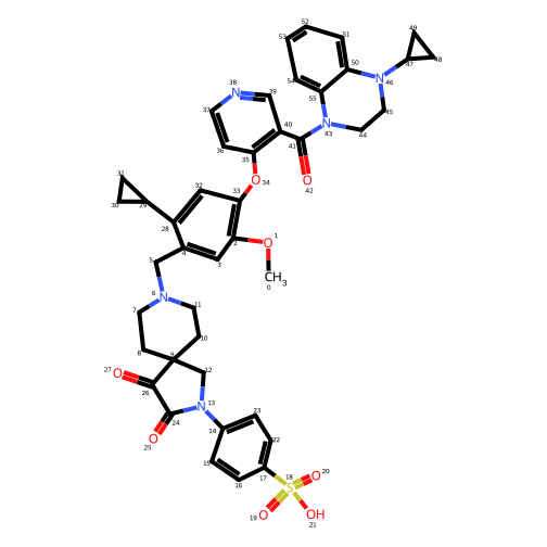 COc1cc(CN2CCC3(CC2)CN(c2ccc(S(=O)(=O)O)cc2)C(=O)C3=O)c(C2CC2)cc1Oc1ccncc1C(=O)N1CCN(C2CC2)c2ccccc21